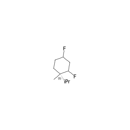 CC(C)[C@]1(C)CCC(F)CC1F